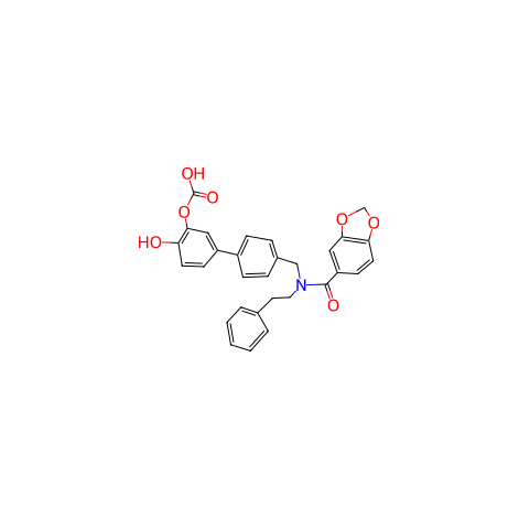 O=C(O)Oc1cc(-c2ccc(CN(CCc3ccccc3)C(=O)c3ccc4c(c3)OCO4)cc2)ccc1O